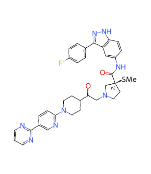 CS[C@@]1(C(=O)Nc2ccc3[nH]nc(-c4ccc(F)cc4)c3c2)CCN(CC(=O)C2CCN(c3ccc(-c4ncccn4)cn3)CC2)C1